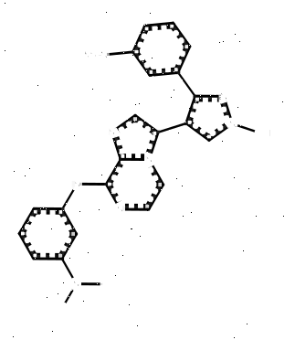 CNc1cccc(-c2nn(C)cc2-c2cnc3c(Nc4cccc(N(C)C)c4)nccn23)c1